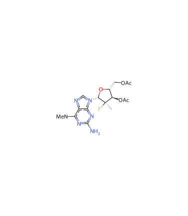 CNc1nc(N)nc2c1ncn2[C@@H]1O[C@H](COC(C)=O)[C@@H](OC(C)=O)[C@@]1(C)F